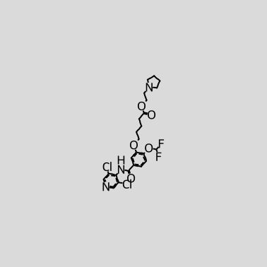 O=C(CCCCOc1cc(C(=O)Nc2c(Cl)cncc2Cl)ccc1OC(F)F)OCCN1CCCC1